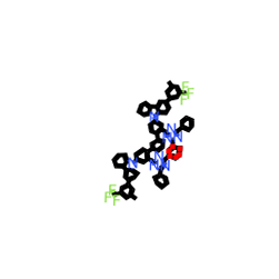 Cc1cc(-c2ccc3c(c2)c2ccccc2n3-c2ccc(-c3cccc(-c4ccc(-n5c6ccccc6c6cc(-c7cc(C)cc(C(F)(F)F)c7)ccc65)cc4-c4nc(-c5ccccc5)nc(-c5ccccc5)n4)c3)c(-c3nc(-c4ccccc4)nc(-c4ccccc4)n3)c2)cc(C(F)(F)F)c1